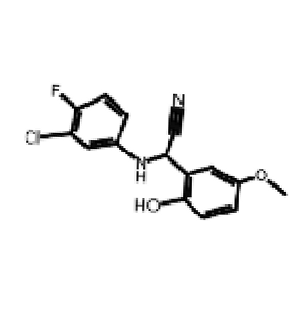 COc1ccc(O)c(C(C#N)Nc2ccc(F)c(Cl)c2)c1